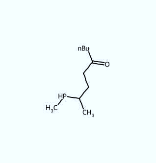 CCCCC(=O)CCC(C)PC